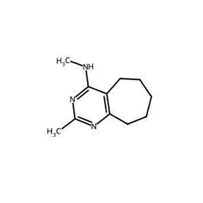 CNc1nc(C)nc2c1CCCCC2